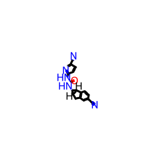 N#Cc1ccc(NC(=O)NC2[C@H]3Cc4cc(C#N)ccc4[C@@H]23)nc1